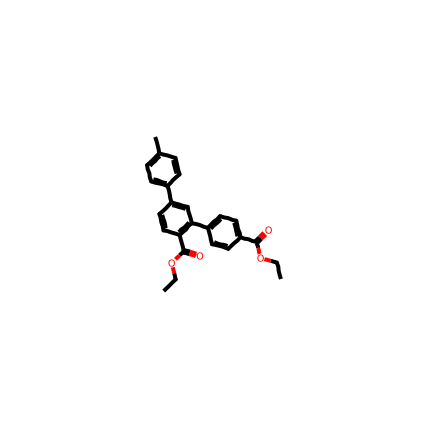 CCOC(=O)c1ccc(-c2cc(-c3ccc(C)cc3)ccc2C(=O)OCC)cc1